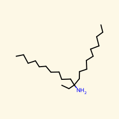 CCCCCCCCCCC(N)(CC)CCCCCCCCCC